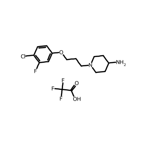 NC1CCN(CCCOc2ccc(Cl)c(F)c2)CC1.O=C(O)C(F)(F)F